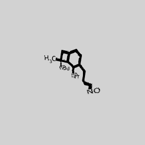 CCCC[C@@]1(C)CC2CCC(CCCN=O)C(CCC)C21